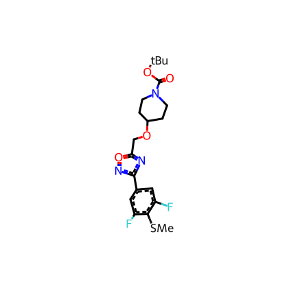 CSc1c(F)cc(-c2noc(COC3CCN(C(=O)OC(C)(C)C)CC3)n2)cc1F